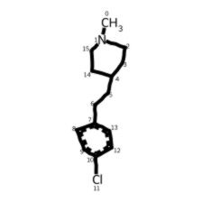 CN1CCC(CCc2ccc(Cl)cc2)CC1